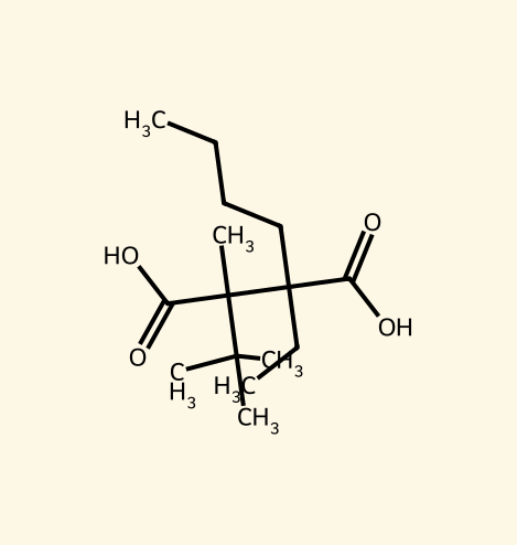 CCCCC(CC)(C(=O)O)C(C)(C(=O)O)C(C)(C)C